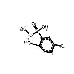 CCC(C)OP(=O)(O)c1cc(Cl)ccc1O